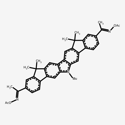 CCC(C)n1c2cc3c(cc2c2cc4c(cc21)-c1ccc(/C(C)=N/OC(C)=O)cc1C4(C)C)C(C)(C)c1cc(/C(C)=N/OC(C)=O)ccc1-3